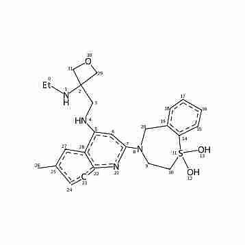 CCNC1(CNc2cc(N3CCS(O)(O)c4ccccc4C3)nc3ccc(C)cc23)COC1